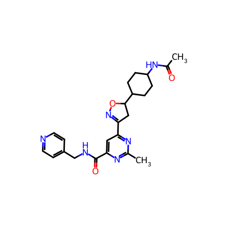 CC(=O)NC1CCC(C2CC(c3cc(C(=O)NCc4ccncc4)nc(C)n3)=NO2)CC1